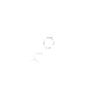 CC1=NOC(c2ccc(F)cc2)C1